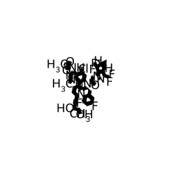 Cn1nc(NS(C)(=O)=O)c2c(Cl)ccc(-c3ccc(C#CC(C)(O)CO)nc3[C@H](Cc3cc(F)cc(F)c3)NC(=O)Cn3nc(C(F)F)c4c3C(F)(F)[C@@H]3C[C@H]43)c21